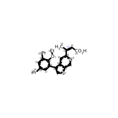 CCOc1c(-c2csc3cnc(/C(C)=C\C(=O)O)cc23)cc(C(C)C)cc1C(C)C